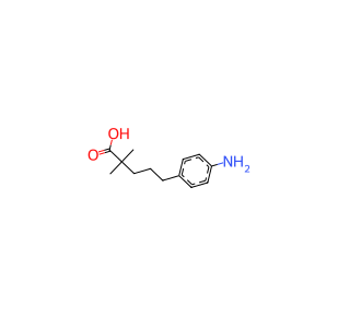 CC(C)(CCCc1ccc(N)cc1)C(=O)O